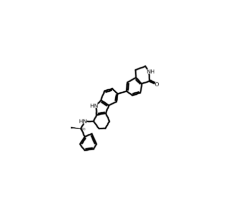 C[C@@H](NC1CCCc2c1[nH]c1ccc(-c3ccc4c(c3)CCNC4=O)cc21)c1ccccc1